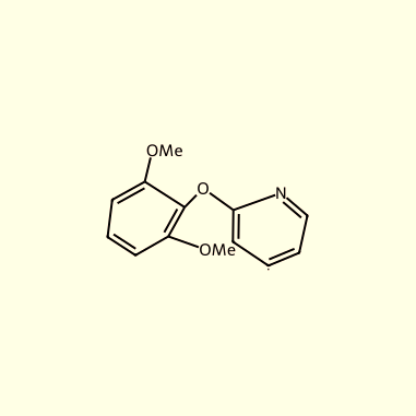 COc1cccc(OC)c1Oc1c[c]ccn1